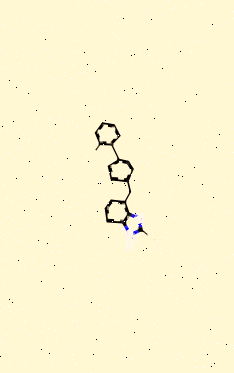 CCCCc1nc2c(Cc3ccc(-c4ccccc4C(=O)O)cc3)cccc2[nH]1